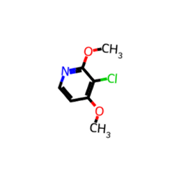 COc1ccnc(OC)c1Cl